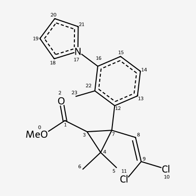 COC(=O)C1C(C)(C)C1(C=C(Cl)Cl)c1cccc(-n2cccc2)c1C